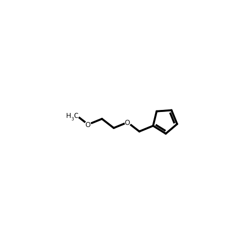 COCCOCC1=CC=CC1